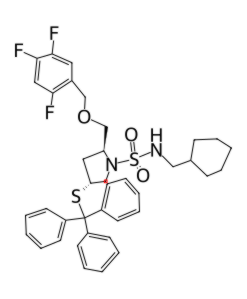 O=S(=O)(NCC1CCCCC1)N1C[C@H](SC(c2ccccc2)(c2ccccc2)c2ccccc2)C[C@H]1COCc1cc(F)c(F)cc1F